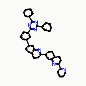 c1ccc(-c2nc(-c3ccccc3)nc(-c3cccc(-c4ccc5ccc(-c6ccc7ccc(-c8ccccn8)nc7c6)nc5c4)c3)n2)cc1